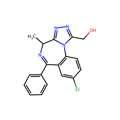 CC1N=C(c2ccccc2)c2cc(Cl)ccc2-n2c(CO)nnc21